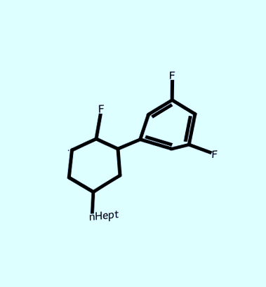 CCCCCCCC1C[CH]C(F)C(c2cc(F)cc(F)c2)C1